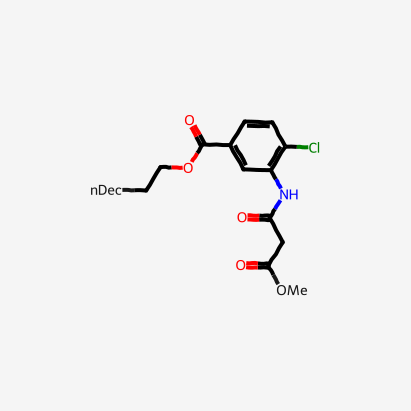 CCCCCCCCCCCCOC(=O)c1ccc(Cl)c(NC(=O)CC(=O)OC)c1